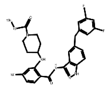 CC(C)(C)OC(=O)N1CCC(Nc2cc(C#N)ccc2C(=O)Nc2n[nH]c3ccc(Cc4cc(F)cc(F)c4)cc23)CC1